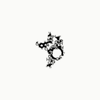 COc1ccc2c(O[C@@H]3C[C@H]4C(=O)N[C@]5(C(=O)NS(=O)(=O)C6CC6)C[C@H]5CCCCCOC[C@H](NC(=O)OC(C)(C)C)C(=O)N4C3)nc(-c3csc(NC(C)C)n3)cc2c1